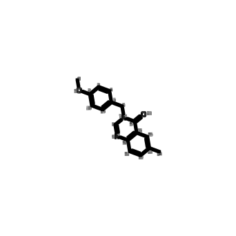 COc1ccc(Cn2cnc3ccc(C)cc3c2=O)cc1